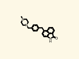 CN1CCN(Cc2ccc(Cc3ccc4c5c(cccc35)C(=O)N4)cc2)CC1